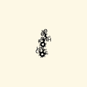 C[C@H](/C=C/S(C)(=O)=O)NC(=O)c1ccc(N[C@@H](C)c2c(F)cccc2Cl)cc1F